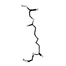 COC(=O)COC(=O)CCCCCC(=O)OCC(C)=O